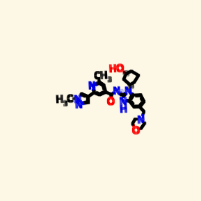 Cc1cc(C(=O)/N=c2\[nH]c3cc(CN4CCOCC4)ccc3n2[C@H]2CCC[C@H](O)C2)cc(-c2cnn(C)c2)n1